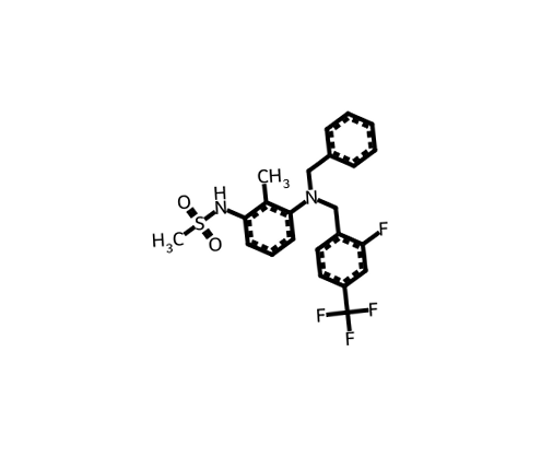 Cc1c(NS(C)(=O)=O)cccc1N(Cc1ccccc1)Cc1ccc(C(F)(F)F)cc1F